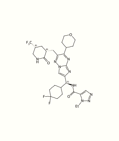 CCn1nncc1C(=O)N[C@H](c1cn2nc(C[C@H]3C[C@@H](C(F)(F)F)CNC3=O)c(C3CCOCC3)nc2n1)C1CCC(F)(F)CC1